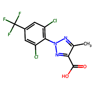 Cc1nn(-c2c(Cl)cc(C(F)(F)F)cc2Cl)nc1C(=O)O